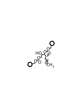 CON=C[C@@H](F)[C@H](OC(=O)OCc1ccccc1)[C@H](O)COC(=O)OCc1ccccc1